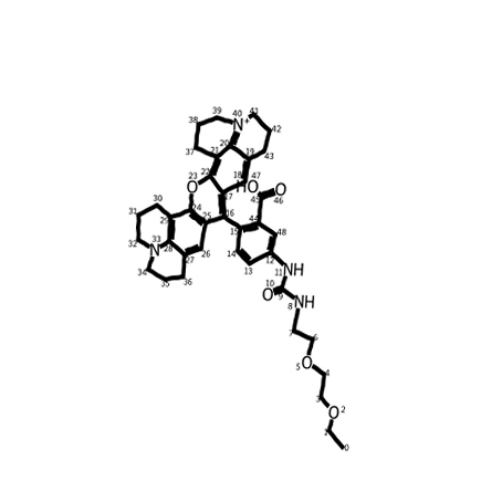 CCOCCOCCNC(=O)Nc1ccc(C2=c3cc4c5c(c3Oc3c2cc2c6c3CCCN6CCC2)CCC[N+]=5CCC4)c(C(=O)O)c1